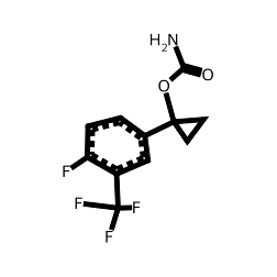 NC(=O)OC1(c2ccc(F)c(C(F)(F)F)c2)CC1